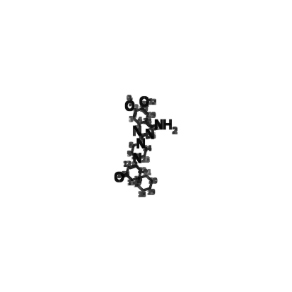 COc1cc2nc(N3CCN(C4=CC(=O)CC5(CCCCC5)C4)CC3)nc(N)c2cc1OC